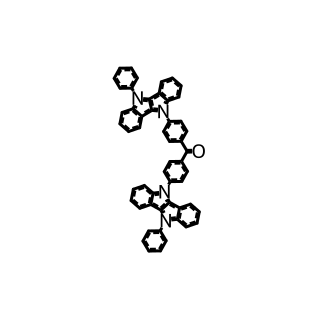 O=C(c1ccc(-n2c3ccccc3c3c2c2ccccc2n3-c2ccccc2)cc1)c1ccc(-n2c3ccccc3c3c2c2ccccc2n3-c2ccccc2)cc1